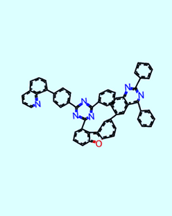 c1ccc(-c2nc(-c3ccc(-c4cccc5cccnc45)cc3)nc(-c3cccc4oc5ccc(-c6ccc7nc(-c8ccccc8)nc(-c8ccccc8)c7c6)cc5c34)n2)cc1